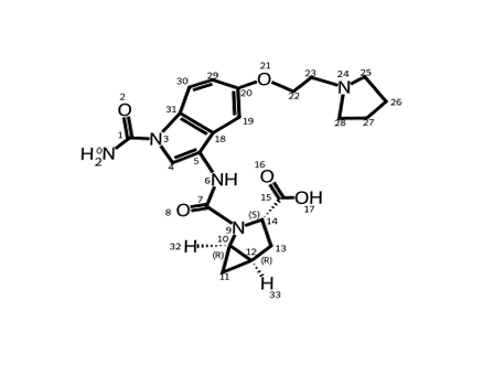 NC(=O)n1cc(NC(=O)N2[C@@H]3C[C@@H]3C[C@H]2C(=O)O)c2cc(OCCN3CCCC3)ccc21